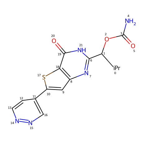 CC(C)C(OC(N)=O)c1nc2cc(-c3ccnnc3)sc2c(=O)[nH]1